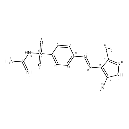 N=C(N)NS(=O)(=O)c1ccc(N=Nc2c(N)n[nH]c2N)cc1